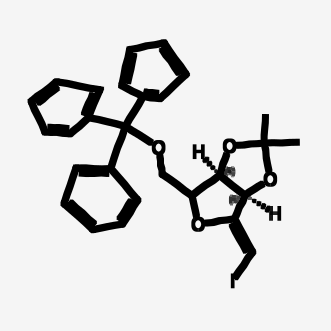 CC1(C)O[C@@H]2C(COC(c3ccccc3)(c3ccccc3)c3ccccc3)OC(=CI)[C@@H]2O1